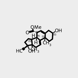 C#C[C@]1(O)CC[C@H]2[C@H]3C(=CC[C@@]21C)[C@@]1(C)CC[C@H](O)CC1=C[C@H]3C(=O)OC